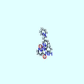 O=C1Nc2ccccc2N(C(=O)N2CCCC(CCN3CCCCC3)C2)c2ncccc21